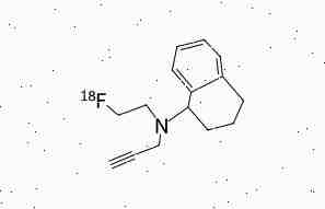 C#CCN(CC[18F])C1CCCc2ccccc21